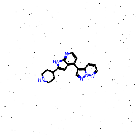 c1cnn2ncc(-c3ccnc4[nH]c(C5CCNCC5)cc34)c2c1